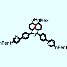 CCCCCC[C@H]1CC[C@H](C(OC(c2ccc(-c3ccc(CCCCC)cn3)cc2)[C@H]2CC[C@H](CCCCCC)CC2)c2ccc(-c3ccc(CCCCC)cn3)cc2)CC1